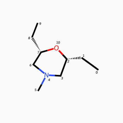 CC[C@@H]1CN(C)C[C@H](CC)O1